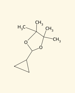 CC1(C)OC(C2CC2)OC1(C)C